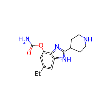 CCc1cc(OC(N)=O)c2nc(C3CCNCC3)[nH]c2c1